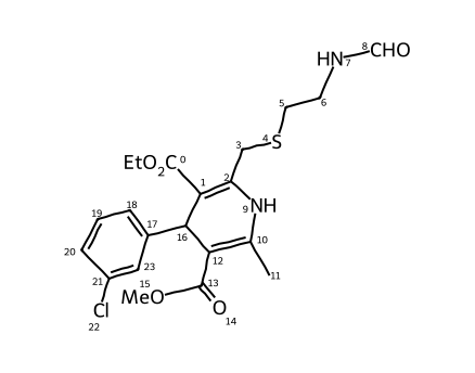 CCOC(=O)C1=C(CSCCNC=O)NC(C)=C(C(=O)OC)C1c1cccc(Cl)c1